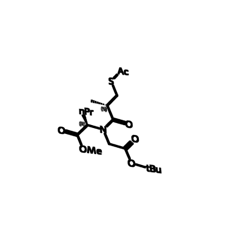 CCC[C@H](C(=O)OC)N(CC(=O)OC(C)(C)C)C(=O)[C@H](C)CSC(C)=O